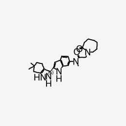 CN(C(=O)CN1CCCCCCC1=O)c1ccc2cc([C@H]3NNC4=C3CCC(C)(C)C4)[nH]c2c1